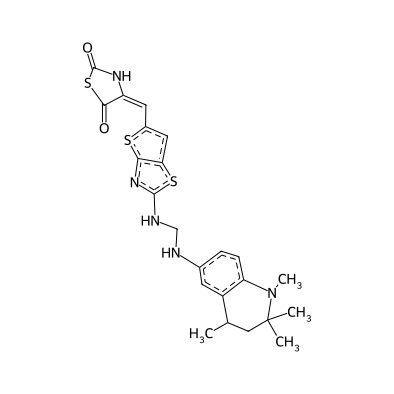 CC1CC(C)(C)N(C)c2ccc(NCNc3nc4sc(/C=C5/NC(=O)SC5=O)cc4s3)cc21